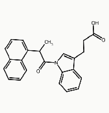 CC(C(=O)n1cc(CCC(=O)O)c2ccccc21)c1cccc2ccccc12